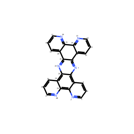 c1cnc2c(c1)c1nc3c4cccnc4c4ncccc4c3nc1c1cccnc12